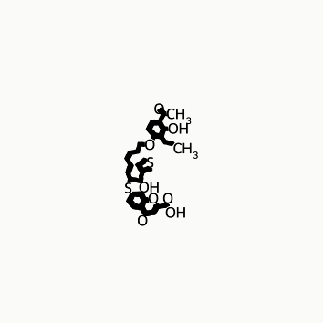 CCCc1c(OCC/C=C\C=C\C(Sc2ccc3c(=O)cc(C(=O)O)oc3c2)C(O)c2ccsc2)ccc(C(C)=O)c1O